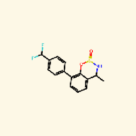 CC1NS(=O)Oc2c(-c3ccc(C(F)F)cc3)cccc21